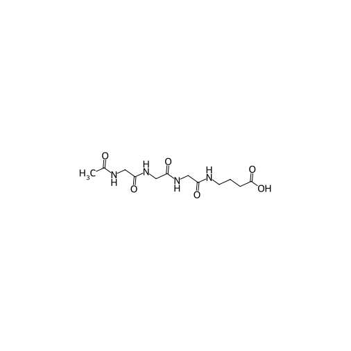 CC(=O)NCC(=O)NCC(=O)NCC(=O)NCCCC(=O)O